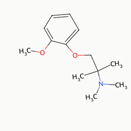 COc1ccccc1OCC(C)(C)N(C)C